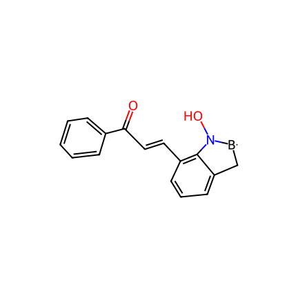 O=C(/C=C/c1cccc2c1N(O)[B]C2)c1ccccc1